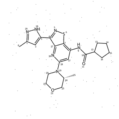 Cc1cc(-c2nsc3c(NC(=O)C4CCCC4)cc(N4CCOC[C@H]4C)nc23)[nH]n1